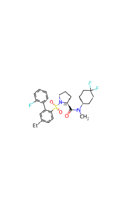 CCc1ccc(S(=O)(=O)N2CCC[C@H]2C(=O)N(C)C2CCC(F)(F)CC2)c(-c2ccccc2F)c1